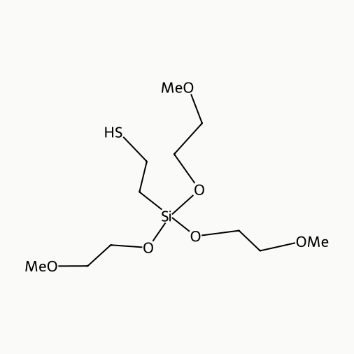 COCCO[Si](CCS)(OCCOC)OCCOC